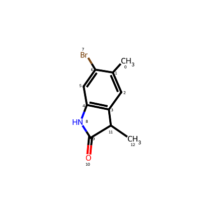 Cc1cc2c(cc1Br)NC(=O)C2C